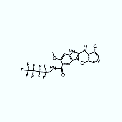 COc1cc2[nH]c(Nc3c(Cl)cncc3Cl)nc2cc1C(=O)NCC(F)(F)C(F)(F)C(F)(F)C(F)(F)F